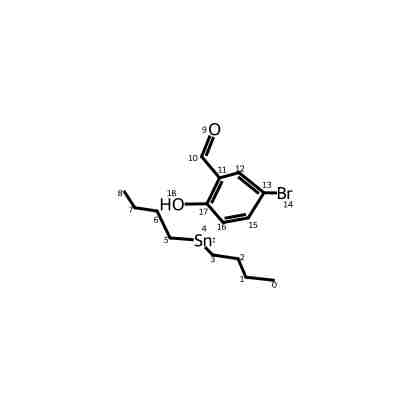 CCC[CH2][Sn][CH2]CCC.O=Cc1cc(Br)ccc1O